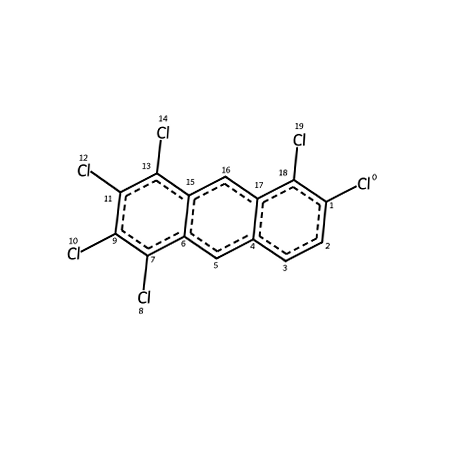 Clc1ccc2cc3c(Cl)c(Cl)c(Cl)c(Cl)c3cc2c1Cl